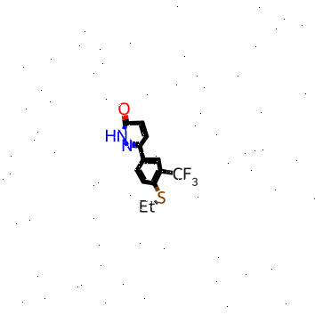 CCSc1ccc(-c2ccc(=O)[nH]n2)cc1C(F)(F)F